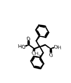 C=C(C(=O)O)C(CC(=O)O)(Cc1ccccc1)Cc1ccccc1